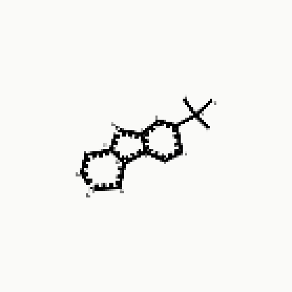 CC(C)(C)c1ccc2c(c1)sc1ccncc12